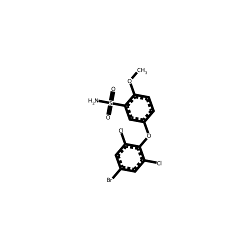 COc1ccc(Oc2c(Cl)cc(Br)cc2Cl)cc1S(N)(=O)=O